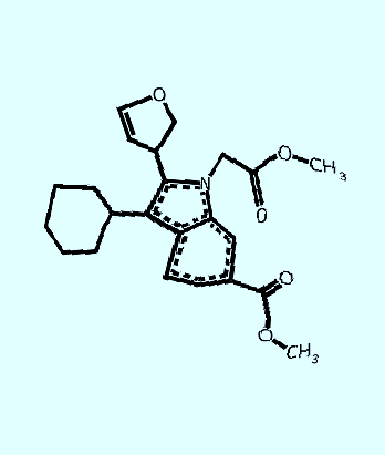 COC(=O)Cn1c(C2C=COC2)c(C2CCCCC2)c2ccc(C(=O)OC)cc21